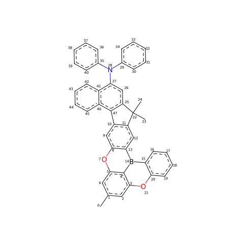 Cc1cc2c3c(c1)Oc1cc4c(cc1B3c1ccccc1O2)C(C)(C)c1cc(N(c2ccccc2)c2ccccc2)c2ccccc2c1-4